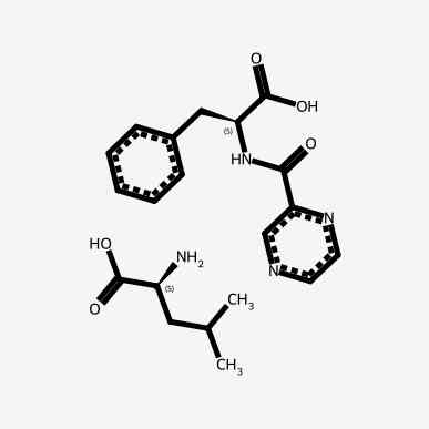 CC(C)C[C@H](N)C(=O)O.O=C(N[C@@H](Cc1ccccc1)C(=O)O)c1cnccn1